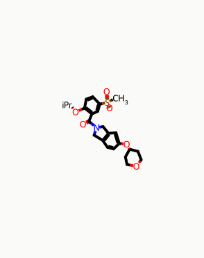 CC(C)Oc1ccc(S(C)(=O)=O)cc1C(=O)N1Cc2ccc(OC3CCOCC3)cc2C1